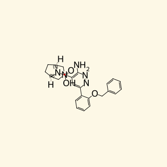 Nc1nnc(-c2ccccc2OCc2ccccc2)cc1N1C[C@H]2CC[C@@H](C1)N2C(=O)O